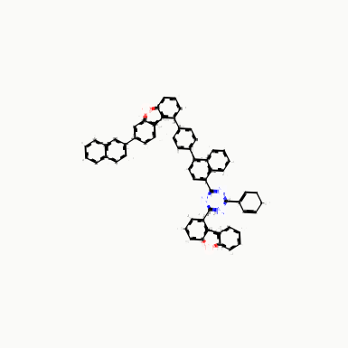 C1=CC(c2nc(-c3ccc(-c4ccc(-c5cccc6oc7cc(-c8ccc9ccccc9c8)ccc7c56)cc4)c4ccccc34)nc(-c3cccc4oc5ccccc5c34)n2)=CCC1